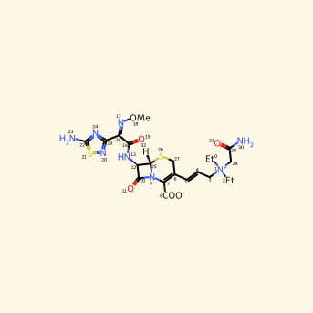 CC[N+](CC)(C/C=C/C1=C(C(=O)[O-])N2C(=O)[C@@H](NC(=O)/C(=N\OC)c3nsc(N)n3)[C@@H]2SC1)CC(N)=O